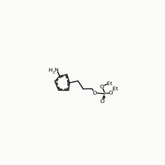 CCOP(=O)(OCC)OCCCc1cccc(N)c1